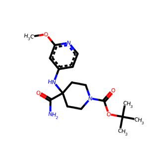 COc1cc(NC2(C(N)=O)CCN(C(=O)OC(C)(C)C)CC2)ccn1